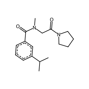 CC(C)c1cccc(C(=O)N(C)CC(=O)N2CCCC2)c1